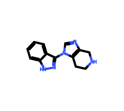 c1ccc2c(-n3cnc4c3CCNC4)n[nH]c2c1